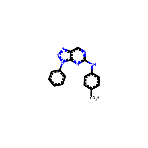 O=C(O)c1ccc(Nc2ncc3nnn(-c4ccccc4)c3n2)cc1